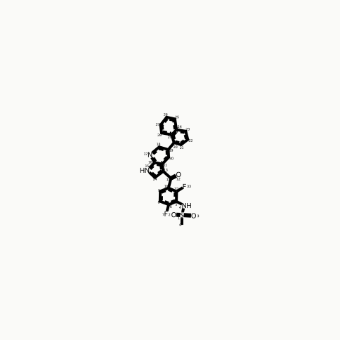 CS(=O)(=O)Nc1c(F)ccc(C(=O)c2c[nH]c3ncc(-c4cccc5ccccc45)cc23)c1F